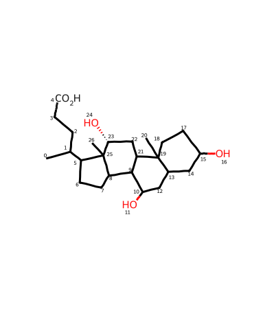 CC(CCC(=O)O)C1CCC2C3C(O)CC4CC(O)CCC4(C)C3C[C@@H](O)C12C